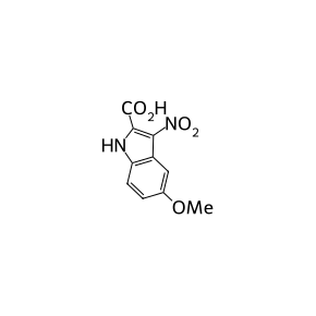 COc1ccc2[nH]c(C(=O)O)c([N+](=O)[O-])c2c1